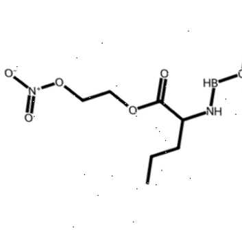 CCCC(NBOC)C(=O)OCCO[N+](=O)[O-]